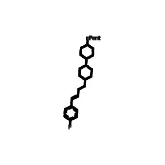 CCCCCC1CCC(C2CCC(CCC=Cc3ccc(F)cc3)CC2)CC1